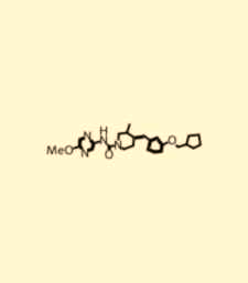 COc1cnc(NC(=O)N2CCC(=Cc3cccc(OCC4CCCC4)c3)C(C)C2)cn1